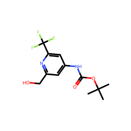 CC(C)(C)OC(=O)Nc1cc(CO)nc(C(F)(F)F)c1